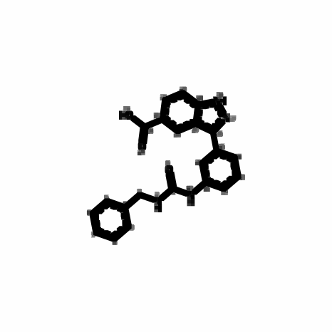 O=C(NCc1ccccc1)Nc1cccc(-c2n[nH]c3ccc(C(=O)O)cc23)c1